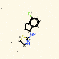 Fc1cccc2c1CCC2NC1=NCCS1